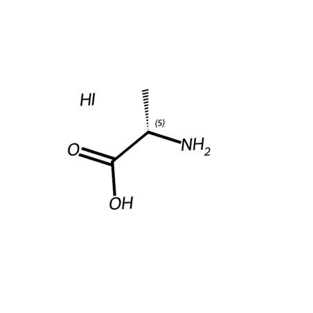 C[C@H](N)C(=O)O.I